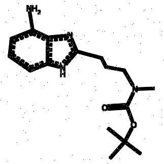 CN(CCCc1nc2c(N)cccc2[nH]1)C(=O)OC(C)(C)C